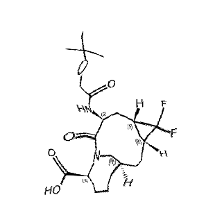 CC(C)(C)OC(=O)N[C@H]1C[C@H]2[C@@H](C[C@H]3CC[C@@H](C(=O)O)N3C1=O)C2(F)F